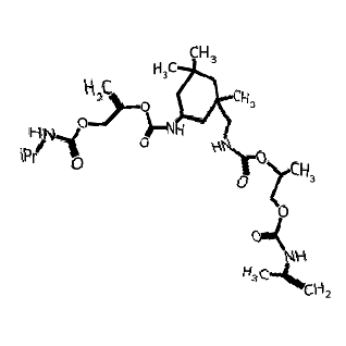 C=C(C)NC(=O)OCC(C)OC(=O)NCC1(C)CC(NC(=O)OC(=C)COC(=O)NC(C)C)CC(C)(C)C1